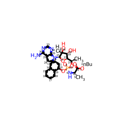 CCCCOC(=O)[C@H](C)NP(=O)(Oc1cccc2ccccc12)O[C@H](C)[C@H]1O[C@@H](n2ccc3c(N)ncnc32)[C@](C)(O)[C@@H]1O